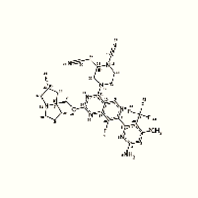 Cc1cc(N)nc(-c2ncc3c(N4CCN(C#N)[C@@H](CC#N)C4)nc(OC[C@@]45CCCN4C[C@H](F)C5)nc3c2F)c1C(F)(F)F